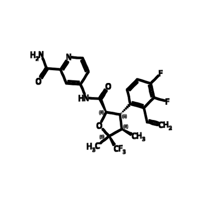 C=Cc1c([C@@H]2[C@@H](C)[C@@](C)(C(F)(F)F)O[C@H]2C(=O)Nc2ccnc(C(N)=O)c2)ccc(F)c1F